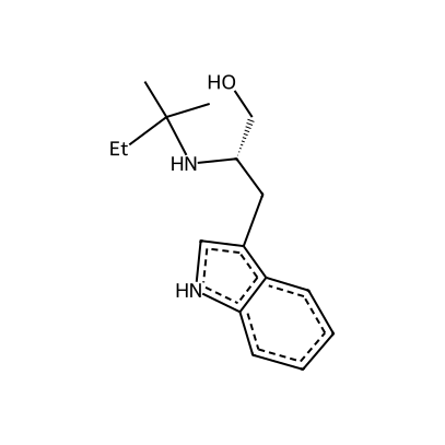 CCC(C)(C)N[C@H](CO)Cc1c[nH]c2ccccc12